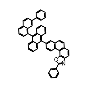 c1ccc(-c2ccc3cccc(-c4c5ccccc5c(-c5ccc6c(ccc7ccc8nc(-c9ccccc9)oc8c76)c5)c5ccccc45)c3c2)cc1